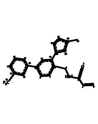 C=CC(=O)NCc1ccc(-c2cccc(C(F)(F)F)c2)cc1-c1ccn(C)n1